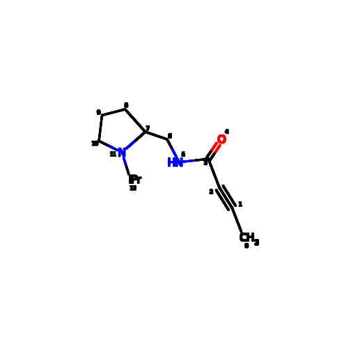 CC#CC(=O)NCC1CCCN1C(C)C